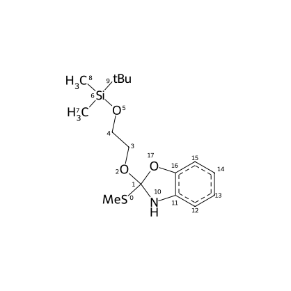 CSC1(OCCO[Si](C)(C)C(C)(C)C)Nc2ccccc2O1